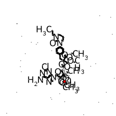 C#C[C@@]1(OC(C)=O)[C@@H](COC(Cc2ccc(N3CCCN(CCC)C3=O)cc2)(C(=O)OCC)C(=O)OCC)O[C@@H](n2cnc3c(N)nc(Cl)nc32)[C@@H]1OC(C)=O